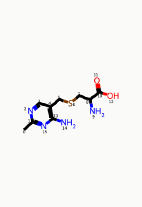 Cc1ncc(CSCC(N)C(=O)O)c(N)n1